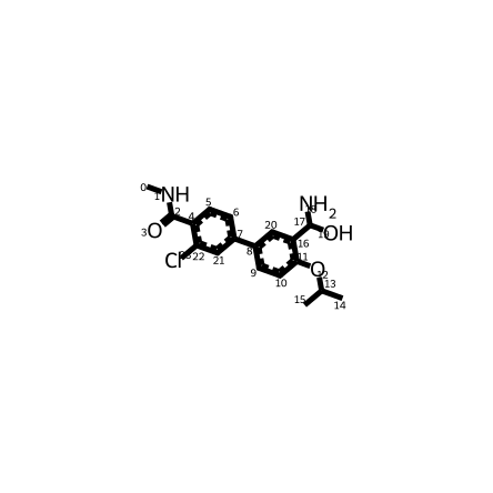 CNC(=O)c1ccc(-c2ccc(OC(C)C)c(C(N)O)c2)cc1Cl